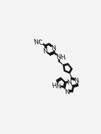 N#Cc1cnc(NC[C@H]2CC[C@@H](c3ncc4cnc5[nH]ccc5n34)C2)cn1